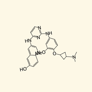 COc1cc(Nc2nccc(Nc3cnc4ccc(O)cc4c3)n2)ccc1OC1CC(N(C)C)C1